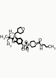 CCCNC(=O)N1CCN(S(=O)(=O)N(C)c2ccc3c(c2)nc(C(C)(C)C)n3CC2CCOCC2)CC1